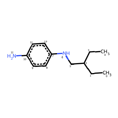 CCC(CC)CNc1ccc(N)cc1